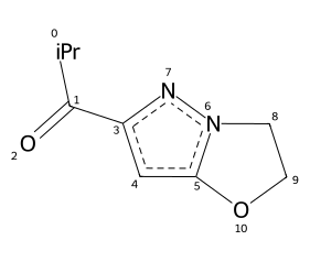 CC(C)C(=O)c1cc2n(n1)CCO2